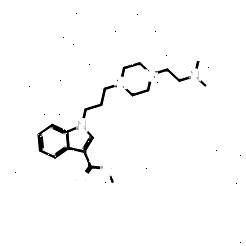 COC(=O)c1cn(CCCN2CCN(CCN(C)C)CC2)c2ccccc12